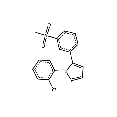 CS(=O)(=O)c1cccc(C2=CC=[C][SH]2c2ccccc2Cl)c1